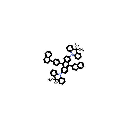 CC1(C)c2ccccc2N(c2ccc3c(-c4ccc5ccccc5c4)c4cc(N5c6ccccc6C(C)(C)c6ccccc65)ccc4c(-c4ccc(-c5cccc6ccccc56)cc4)c3c2)c2ccccc21